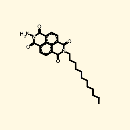 CCCCCCCCCCCCN1C(=O)c2ccc3c4c(ccc(c24)C1=O)C(=O)N(N)C3=O